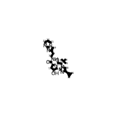 CC(C)(C)[C@@H](C(=O)N1C[C@H](O)C[C@H]1C(=O)NCCc1cn2cccnc2n1)n1cc(C2CC2)nn1